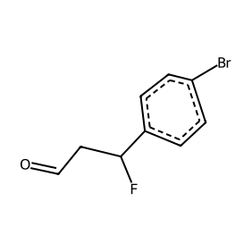 O=CCC(F)c1ccc(Br)cc1